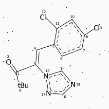 CC(C)(C)C(=O)/C(=C/c1ccc(Cl)cc1Cl)n1cncn1